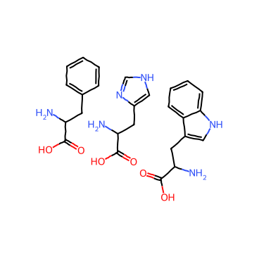 NC(Cc1c[nH]c2ccccc12)C(=O)O.NC(Cc1c[nH]cn1)C(=O)O.NC(Cc1ccccc1)C(=O)O